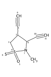 C#CC1CS(=O)(=S)N(C)C1C#C